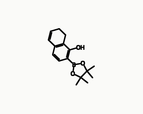 CC1(C)OB(c2ccc3c(c2O)CCC=C3)OC1(C)C